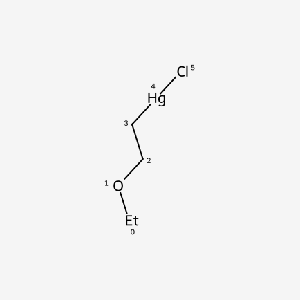 CCOC[CH2][Hg][Cl]